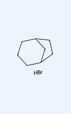 Br.C1CC2CCC(C1)C2